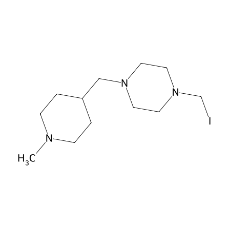 CN1CCC(CN2CCN(CI)CC2)CC1